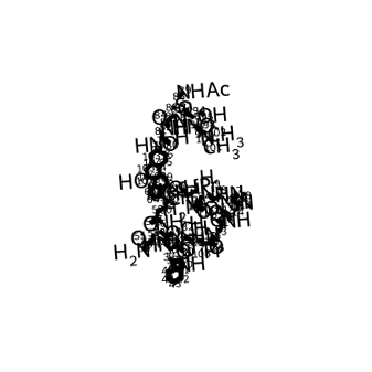 CSCC[C@H](NC(=O)[C@H](CC(C)C)NC(=O)[C@H](Cc1c[nH]cn1)NC(=O)CNC(=O)[C@@H](NC(=O)[C@H](C)NC(=O)[C@H](Cc1c[nH]c2ccccc12)NC(=O)[C@H](CCC(N)=O)NC(=O)CCC(C)[C@H]1CCC2C3C(C[C@H](O)[C@@]21C)C1CC[C@H](NC(=O)CNC(=O)[C@H](CSCNC(C)=O)NC(=O)[C@H](CO)NC(=O)CN(C)C)CC1C[C@H]3O)C(C)C)C(N)=O